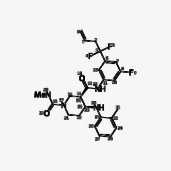 C=CCC(F)(F)c1cc(F)cc(NC(=O)[C@@H]2CN(C(=O)NC)CC[C@@H]2Nc2ccccc2C)c1